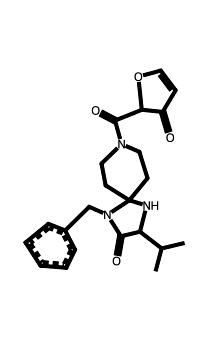 CC(C)C1NC2(CCN(C(=O)C3OC=CC3=O)CC2)N(Cc2ccccc2)C1=O